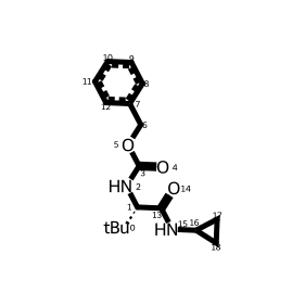 CC(C)(C)[C@H](NC(=O)OCc1ccccc1)C(=O)NC1CC1